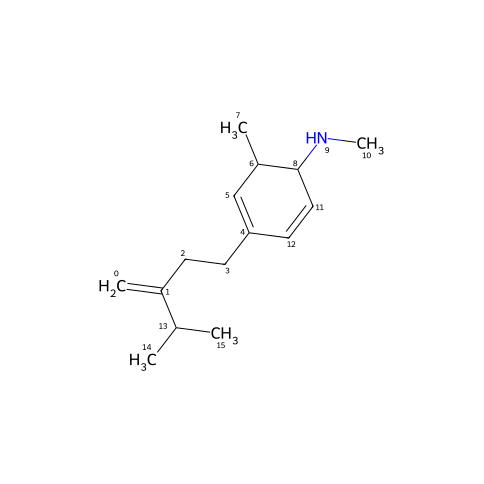 C=C(CCC1=CC(C)C(NC)C=C1)C(C)C